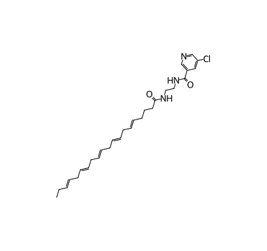 CCC=CCC=CCC=CCC=CCC=CCCCC(=O)NCCNC(=O)c1cncc(Cl)c1